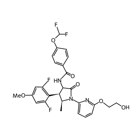 COc1cc(F)c([C@H]2C(NC(=O)c3ccc(OC(F)F)cc3)C(=O)N(c3cccc(OCCO)n3)[C@H]2C)c(F)c1